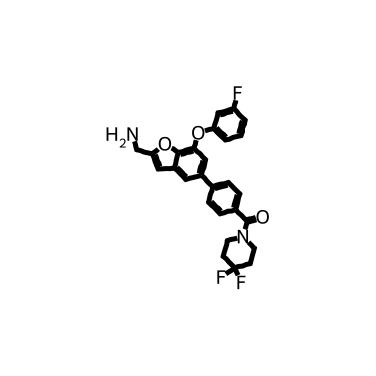 NCc1cc2cc(-c3ccc(C(=O)N4CCC(F)(F)CC4)cc3)cc(Oc3cccc(F)c3)c2o1